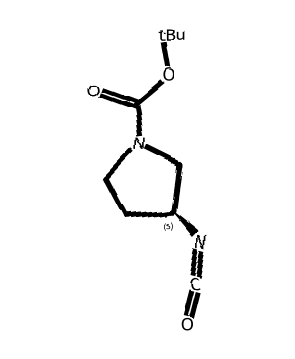 CC(C)(C)OC(=O)N1CC[C@H](N=C=O)C1